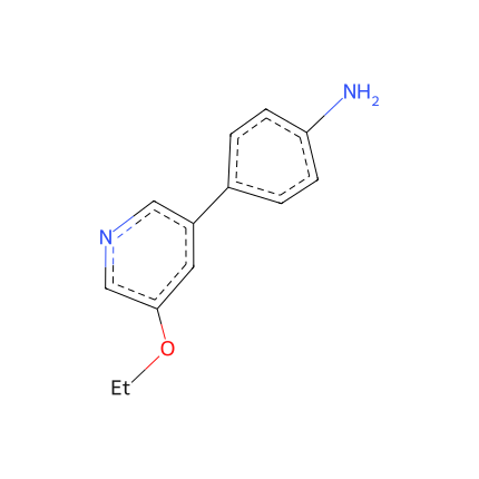 CCOc1cncc(-c2ccc(N)cc2)c1